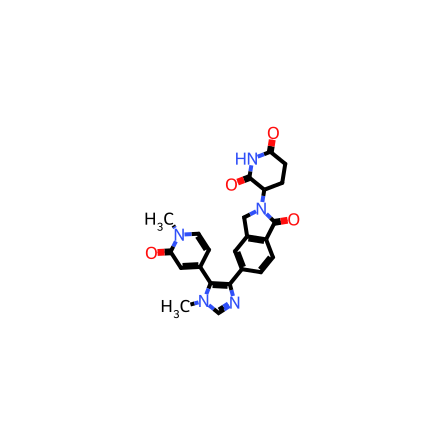 Cn1cnc(-c2ccc3c(c2)CN(C2CCC(=O)NC2=O)C3=O)c1-c1ccn(C)c(=O)c1